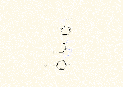 CCCCNc1ccc(NC(=O)c2nnn(-c3cc(OC)ccc3OC)c2C)cc1C(C)(C)C